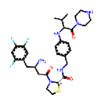 CC(C)C(Nc1ccc(CNC(=O)[C@@H]2SCCN2C(=O)CC(N)Cc2cc(F)c(F)cc2F)cc1)C(=O)N1CCNCC1